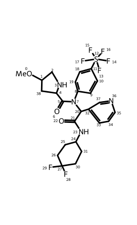 COC1CNC(C(=O)N(c2ccc(S(F)(F)(F)(F)F)cc2)C(C(=O)NC2CCC(F)(F)CC2)c2cccnc2)C1